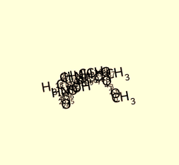 COCCCOc1cc(C[C@@H](C[C@H](N)[C@@H](O)C[C@H](C(=O)NC2CCOCC2)C(C)C)C(C)C)ccc1OC